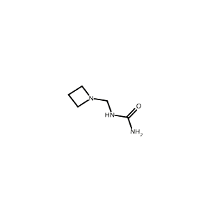 NC(=O)NCN1CCC1